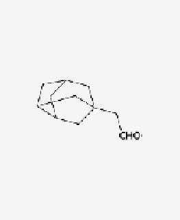 O=[C]CC12CC3CC(C1)C(C3)C2